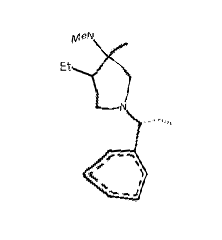 CCC1CN([C@H](C)c2ccccc2)CC1(C)NC